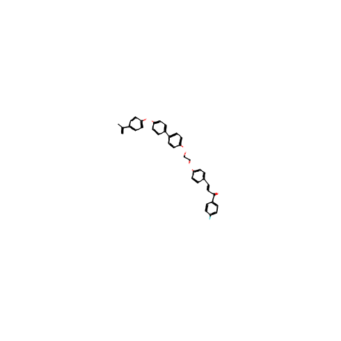 C=C(C)c1ccc(Oc2ccc(-c3ccc(OCCOc4ccc(/C=C/C(=O)c5ccc(F)cc5)cc4)cc3)cc2)cc1